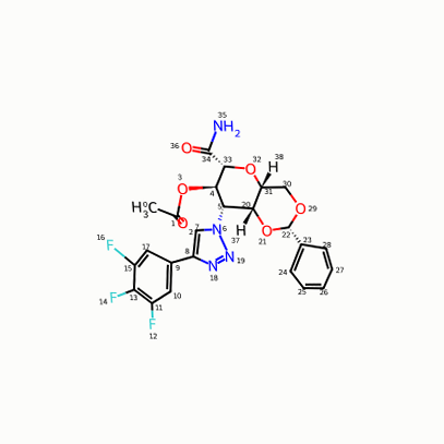 CC(=O)O[C@@H]1[C@@H](n2cc(-c3cc(F)c(F)c(F)c3)nn2)[C@H]2O[C@@H](c3ccccc3)OC[C@H]2O[C@H]1C(N)=O